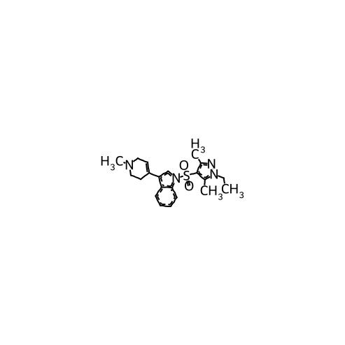 CCn1nc(C)c(S(=O)(=O)n2cc(C3=CCN(C)CC3)c3ccccc32)c1C